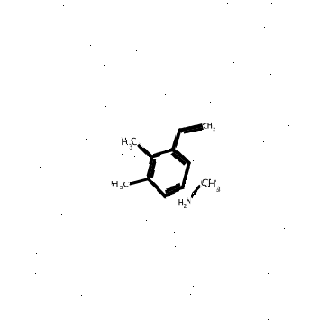 C=Cc1cccc(C)c1C.CN